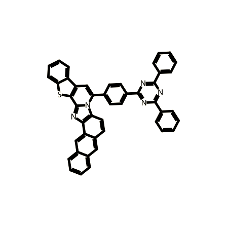 c1ccc(-c2nc(-c3ccccc3)nc(-c3ccc(-c4cc5c6ccccc6sc5c5nc6c7cc8ccccc8cc7ccc6n45)cc3)n2)cc1